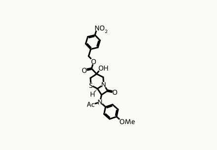 COc1ccc(N(C(C)=O)C2C(=O)N3CC(O)(C(=O)OCc4ccc([N+](=O)[O-])cc4)CS[C@H]23)cc1